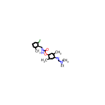 CCN(C)C=Nc1cc(C)c(OC(=O)NCc2c(F)cccc2C(F)(F)F)cc1C